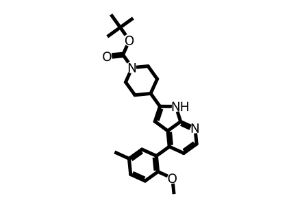 COc1ccc(C)cc1-c1ccnc2[nH]c(C3CCN(C(=O)OC(C)(C)C)CC3)cc12